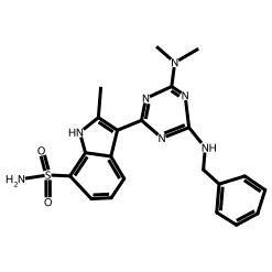 Cc1[nH]c2c(S(N)(=O)=O)cccc2c1-c1nc(NCc2ccccc2)nc(N(C)C)n1